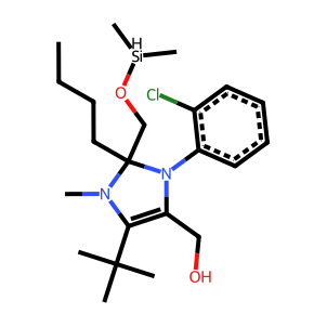 CCCCC1(CO[SiH](C)C)N(C)C(C(C)(C)C)=C(CO)N1c1ccccc1Cl